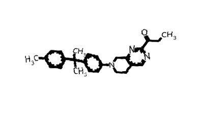 CCC(=O)c1ncc2c(n1)CN(c1ccc(C(C)(C)c3ccc(C)cc3)cc1)CC2